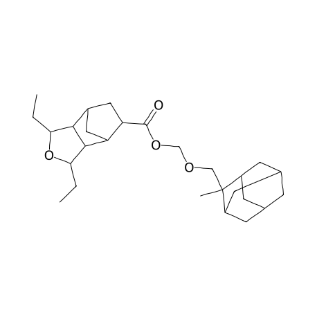 CCC1OC(CC)C2C3CC(CC3C(=O)OCOCC3(C)C4CC5CC(C4)CC3C5)C12